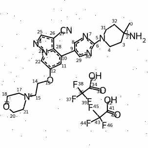 CC1(N)CCN(c2ncc(-c3cc(OCCN4CCOCC4)cn4ncc(C#N)c34)cn2)CC1.O=C(O)C(F)(F)F.O=C(O)C(F)(F)F